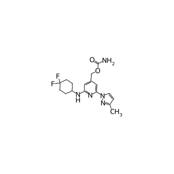 Cc1ccn(-c2cc(COC(N)=O)cc(NC3CCC(F)(F)CC3)n2)n1